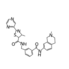 CC1N=C(c2cnccn2)SC1C(=O)NCc1cccc(C(=O)Nc2ccc3c(c2)CN(C)CC3)c1